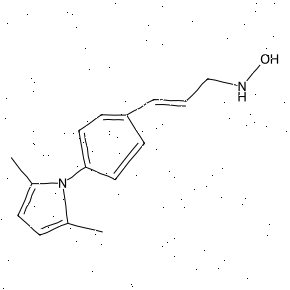 Cc1ccc(C)n1-c1ccc(C=CCNO)cc1